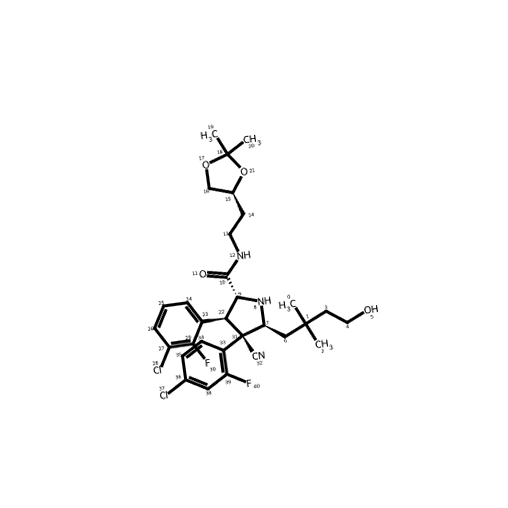 CC(C)(CCO)C[C@@H]1N[C@@H](C(=O)NCC[C@H]2COC(C)(C)O2)[C@H](c2cccc(Cl)c2F)[C@@]1(C#N)c1ccc(Cl)cc1F